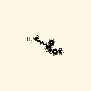 NC(=O)CCCCCCC(=O)N(OC(=O)Oc1ccc([N+](=O)[O-])cc1)c1ccccc1